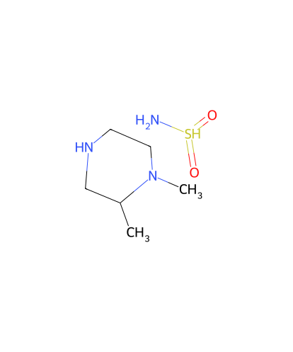 CC1CNCCN1C.N[SH](=O)=O